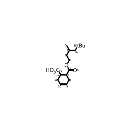 CC(CCOC(=O)C1CC=CCC1C(=O)O)CC(C)(C)C